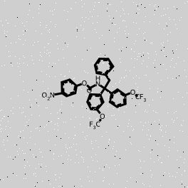 O=C(NC(Cc1ccccc1)(c1cccc(OC(F)(F)F)c1)c1cccc(OC(F)(F)F)c1)Oc1ccc([N+](=O)[O-])cc1